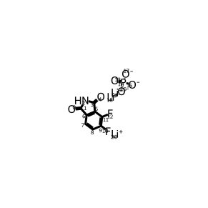 O=C1NC(=O)c2c1ccc(F)c2F.O=P([O-])([O-])[O-].[Li+].[Li+].[Li+]